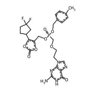 Cc1ccc(COP(=O)(COCCn2cnc3c(=O)[nH]c(N)nc32)OCc2oc(=O)oc2C2CCC(F)(F)C2)cc1